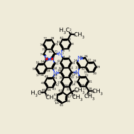 CC(C)c1ccc(N(c2ccc3c(N(c4ccc(C(C)C)cc4)c4cncc5ccccc45)c4cc5c(cc4c(N(c4ccc(C(C)C)cc4)c4cncc6ccccc46)c3c2)-c2ccccc2C5(C)C)c2cncc3ccccc23)cc1